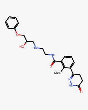 COc1c(C(=O)NCCNCC(O)COc2ccccc2)cccc1C1=NNC(=O)CC1